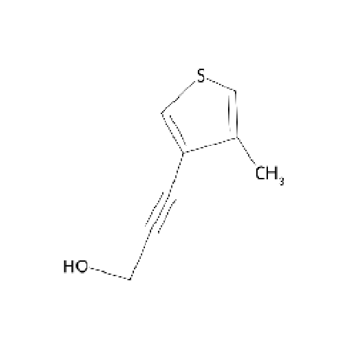 Cc1cscc1C#CCO